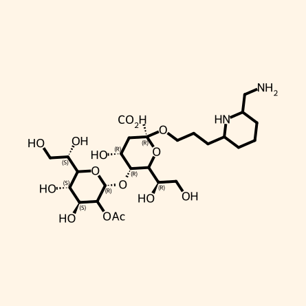 CC(=O)OC1[C@@H](O[C@H]2C([C@H](O)CO)O[C@@](OCCCC3CCCC(CN)N3)(C(=O)O)C[C@H]2O)OC([C@@H](O)CO)[C@@H](O)[C@@H]1O